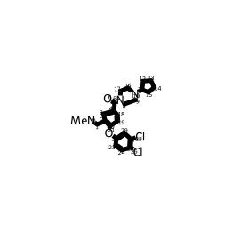 CNCc1cc(C(=O)N2CCN(C3CCCC3)CC2)ccc1Oc1ccc(Cl)c(Cl)c1